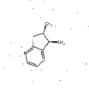 C[C@@H]1Cc2ncccc2[C@@H]1C